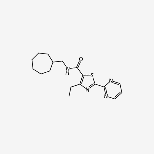 CCc1nc(-c2ncccn2)sc1C(=O)NCC1CCCCCC1